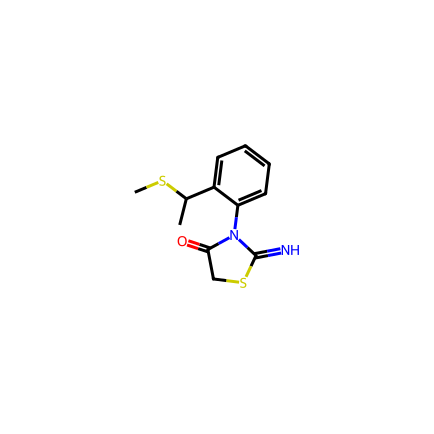 CSC(C)c1ccccc1N1C(=N)SCC1=O